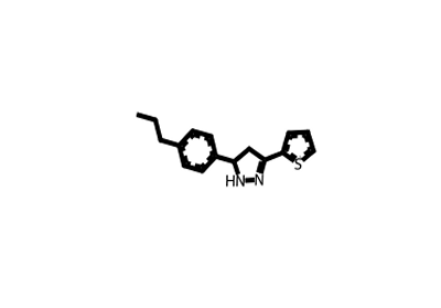 CCCc1ccc(C2CC(c3cccs3)=NN2)cc1